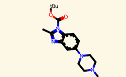 Cc1nc2cc(N3CCN(C)CC3)ccc2n1C(=O)OC(C)(C)C